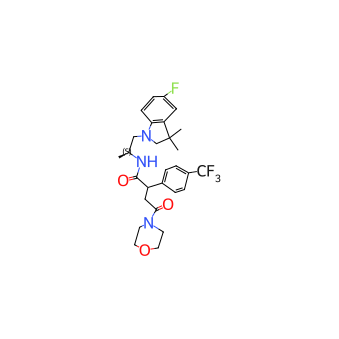 C[C@@H](CN1CC(C)(C)c2cc(F)ccc21)NC(=O)C(CC(=O)N1CCOCC1)c1ccc(C(F)(F)F)cc1